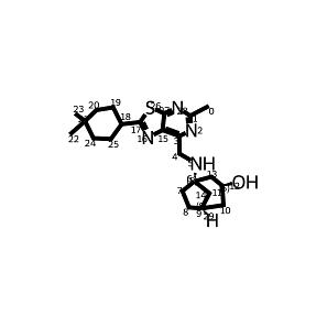 Cc1nc(CN[C@]23CC[C@H](C[C@H](O)C2)C3)c2nc(C3CCC(C)(C)CC3)sc2n1